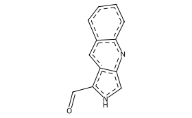 O=Cc1[nH]cc2nc3ccccc3cc12